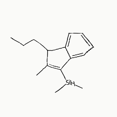 CCCC1C(C)=C([SiH](C)C)c2ccccc21